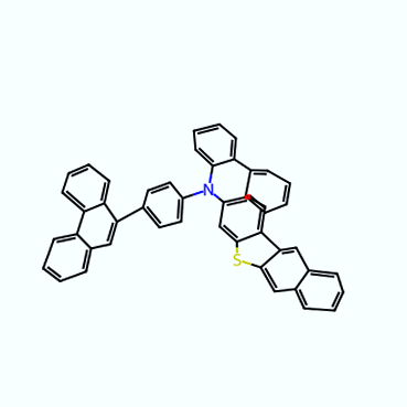 c1ccc(-c2ccccc2N(c2ccc(-c3cc4ccccc4c4ccccc34)cc2)c2ccc3c(c2)sc2cc4ccccc4cc23)cc1